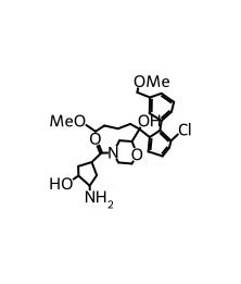 COCCCCC(O)(c1cccc(Cl)c1-c1cccc(COC)c1)C1CN(C(=O)C2CC(N)C(O)C2)CCO1